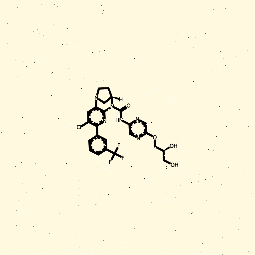 O=C(Nc1cnc(OC[C@@H](O)CO)cn1)N1c2nc(-c3cccc(C(F)(F)F)c3)c(Cl)cc2N2CC[C@H]1C2